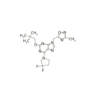 Cc1noc(Cn2cnc3c(N4CCC(F)(F)C4)nc(OCC(C)(C)C)nc32)n1